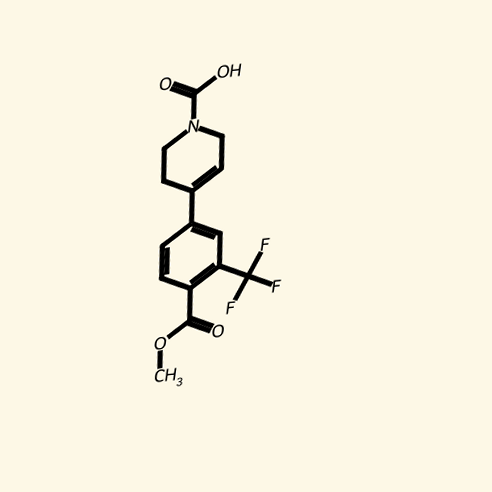 COC(=O)c1ccc(C2=CCN(C(=O)O)CC2)cc1C(F)(F)F